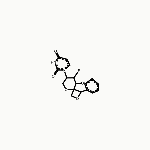 O=c1ccn(C2COC3(COC3c3ccccc3)C(O)C2F)c(=O)[nH]1